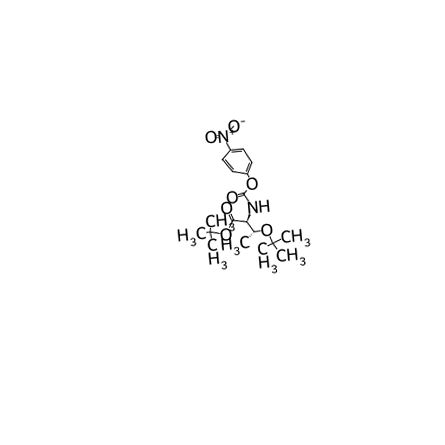 C[C@@H](OC(C)(C)C)[C@H](NC(=O)Oc1ccc([N+](=O)[O-])cc1)C(=O)OC(C)(C)C